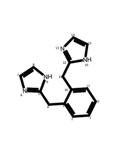 c1ccc(Cc2ncc[nH]2)c(Cc2ncc[nH]2)c1